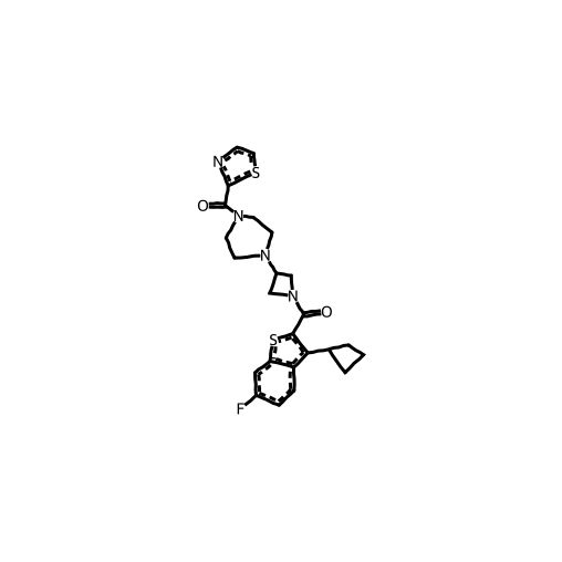 O=C(c1nccs1)N1CCN(C2CN(C(=O)c3sc4cc(F)ccc4c3C3CCC3)C2)CC1